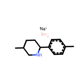 Cc1ccc(C2CCC(C)CN2)cc1.[BH4-].[Na+]